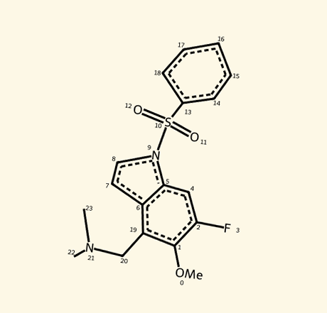 COc1c(F)cc2c(ccn2S(=O)(=O)c2ccccc2)c1CN(C)C